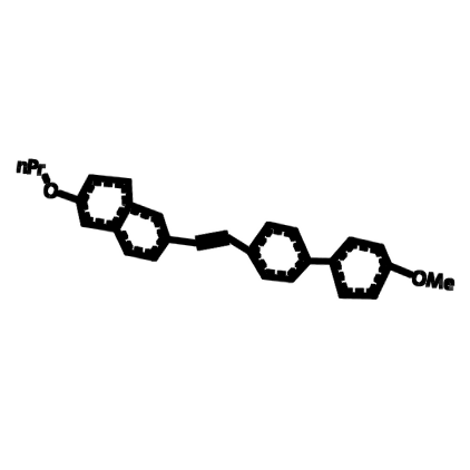 CCCOc1ccc2cc(C#Cc3ccc(-c4ccc(OC)cc4)cc3)ccc2c1